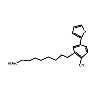 CCCCCCCCCCCCCCCCCCc1cc(-c2cccs2)ccc1C#N